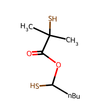 CCCCC(S)OC(=O)C(C)(C)S